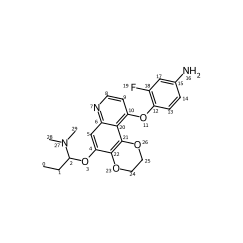 CCC(Oc1cc2nccc(Oc3ccc(N)cc3F)c2c2c1OCCO2)N(C)C